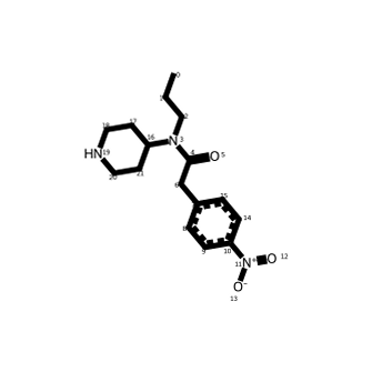 CCCN(C(=O)Cc1ccc([N+](=O)[O-])cc1)C1CCNCC1